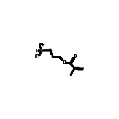 C=C(C)C(=O)OCCC[SiH](C(C)C)C(C)C